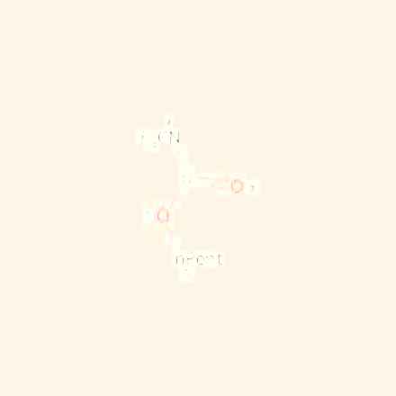 CCCCCOC(=O)NC(F)(F)F